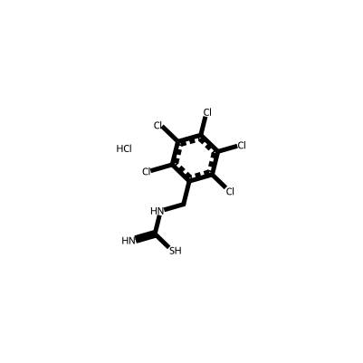 Cl.N=C(S)NCc1c(Cl)c(Cl)c(Cl)c(Cl)c1Cl